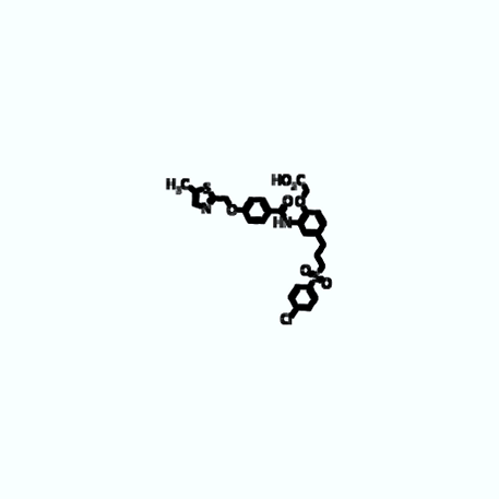 Cc1cnc(COc2ccc(C(=O)Nc3cc(CCCS(=O)(=O)c4ccc(Cl)cc4)ccc3OCC(=O)O)cc2)s1